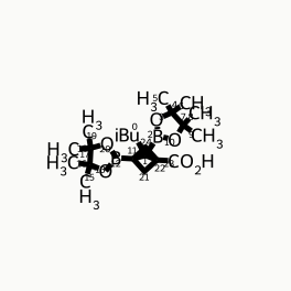 CCC(C)C1(B2OC(C)(C)C(C)(C)O2)C2(B3OC(C)(C)C(C)(C)O3)CC1(C(=O)O)C2